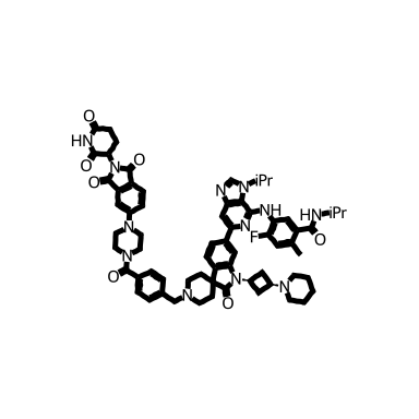 Cc1cc(F)c(Nc2nc(-c3ccc4c(c3)N([C@H]3C[C@@H](N5CCCCC5)C3)C(=O)C43CCN(Cc4ccc(C(=O)N5CCN(c6ccc7c(c6)C(=O)N(C6CCC(=O)NC6=O)C7=O)CC5)cc4)CC3)cc3ncn(C(C)C)c23)cc1C(=O)NC(C)C